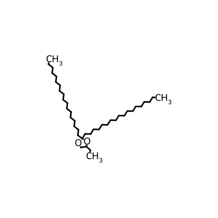 CCCCCCCCCCCCCCCCCCC1(CCCCCCCCCCCCCCCCCC)OCC(CC)O1